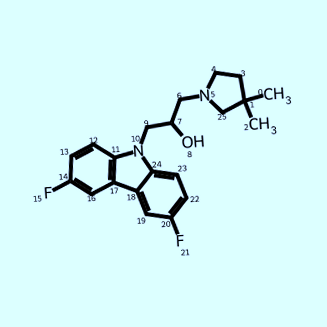 CC1(C)CCN(CC(O)Cn2c3ccc(F)cc3c3cc(F)ccc32)C1